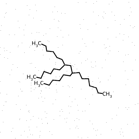 CCCCCCCC([CH]C(CCCCCC)CCCCCC)CCCCCC